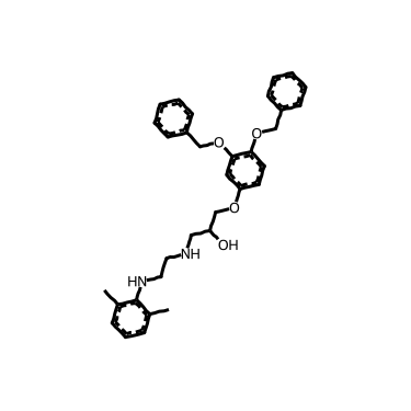 Cc1cccc(C)c1NCCNCC(O)COc1ccc(OCc2ccccc2)c(OCc2ccccc2)c1